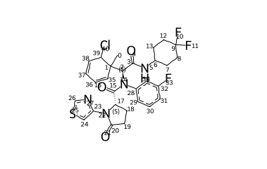 CC1([C@@H](C(=O)NC2CCC(F)(F)CC2)N(C(=O)[C@@H]2CCC(=O)N2c2cscn2)c2cccc(F)c2)C=CC=CC1Cl